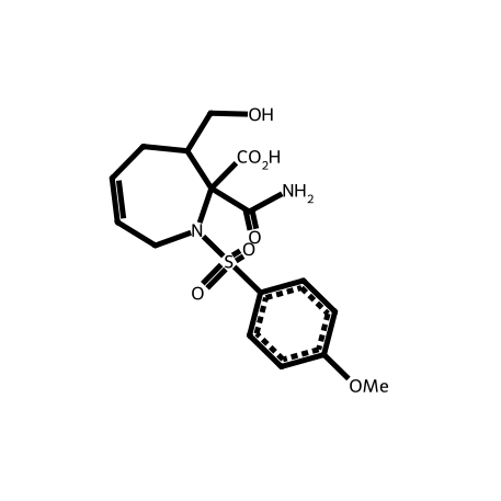 COc1ccc(S(=O)(=O)N2CC=CCC(CO)C2(C(N)=O)C(=O)O)cc1